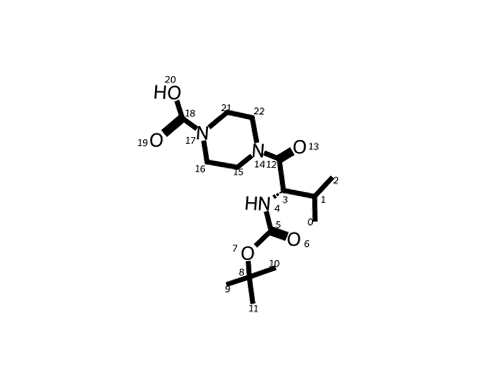 CC(C)[C@H](NC(=O)OC(C)(C)C)C(=O)N1CCN(C(=O)O)CC1